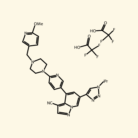 COc1ccc(CN2CCN(c3ccc(-c4cc(-c5cn(C(C)C)nn5)cn5ncc(C#N)c45)cn3)CC2)cn1.O=C(O)C(F)(F)F.O=C(O)C(F)(F)F